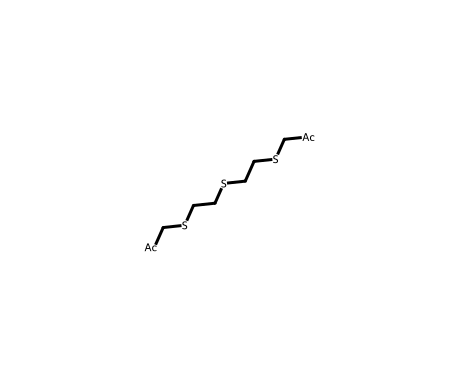 CC(=O)CSCCSCCSCC(C)=O